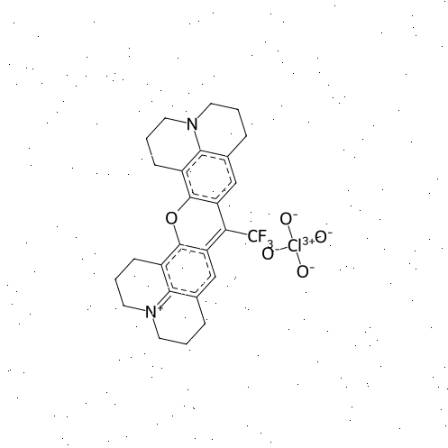 FC(F)(F)C1=c2cc3c4c(c2Oc2c1cc1c5c2CCCN5CCC1)CCC[N+]=4CCC3.[O-][Cl+3]([O-])([O-])[O-]